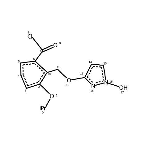 CC(C)Oc1cccc(C(=O)Cl)c1COc1ccn(O)n1